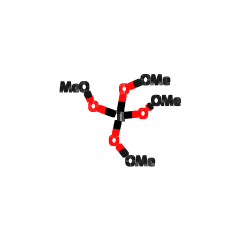 CO[O][Ti]([O]OC)([O]OC)[O]OC